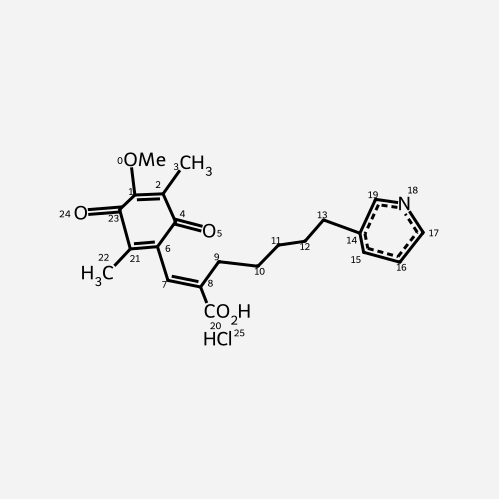 COC1=C(C)C(=O)C(/C=C(\CCCCCc2cccnc2)C(=O)O)=C(C)C1=O.Cl